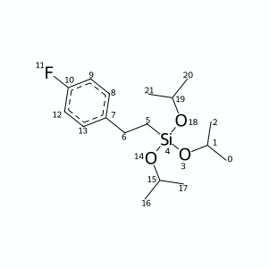 CC(C)O[Si](CCc1ccc(F)cc1)(OC(C)C)OC(C)C